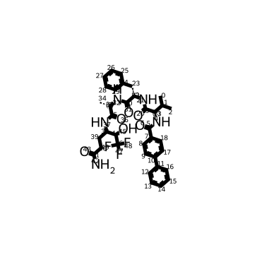 CC(C)[C@@H](NC(=O)c1ccc(-c2ccccc2)cc1)C(=O)N[C@@H](Cc1ccccc1)C(=O)N[C@@H](C)C(=O)NC(CCC(N)=O)C(O)C(F)(F)F